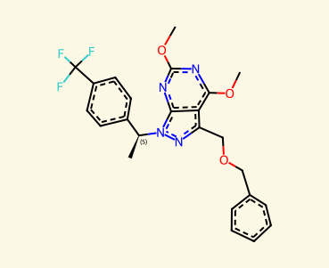 COc1nc(OC)c2c(COCc3ccccc3)nn([C@@H](C)c3ccc(C(F)(F)F)cc3)c2n1